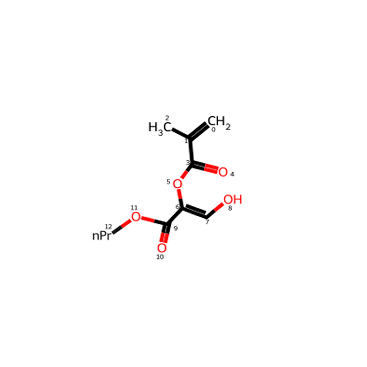 C=C(C)C(=O)OC(=CO)C(=O)OCCC